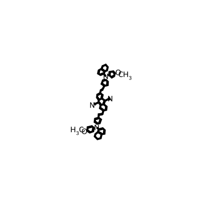 COc1ccc(N(c2ccc(C=Cc3ccc4c(C#N)c5cc(C=Cc6ccc(N(c7ccc(OC)cc7)c7cccc8c7CCCC8)cc6)ccc5c(C#N)c4c3)cc2)c2cccc3c2CCCC3)cc1